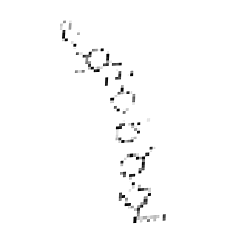 C=CCCc1ccc(OC(F)(F)c2ccc(-c3ccc(-c4ccc(-c5ncc(CCCCC)cn5)cc4F)cc3F)cc2)cc1F